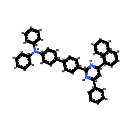 c1ccc(-c2cc(-c3cccc4ccccc34)nc(-c3ccc(-c4ccc(N(c5ccccc5)c5ccccc5)cc4)cc3)n2)cc1